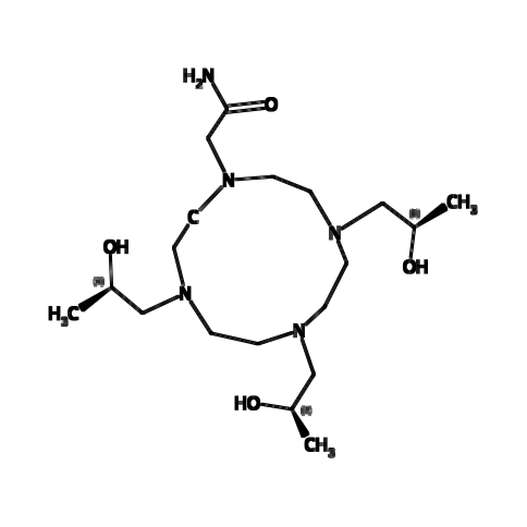 C[C@@H](O)CN1CCN(CC(N)=O)CCN(C[C@@H](C)O)CCN(C[C@@H](C)O)CC1